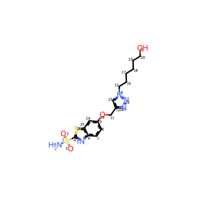 NS(=O)(=O)c1nc2ccc(OCc3cn(CCCCCCO)nn3)cc2s1